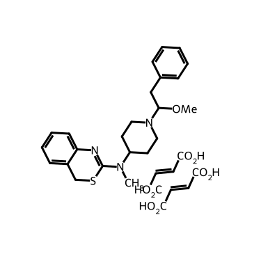 COC(Cc1ccccc1)N1CCC(N(C)C2=Nc3ccccc3CS2)CC1.O=C(O)/C=C/C(=O)O.O=C(O)/C=C/C(=O)O